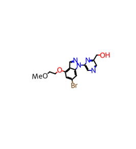 COCCOc1cc(Br)cc2c1cnn2-c1cncc(CO)n1